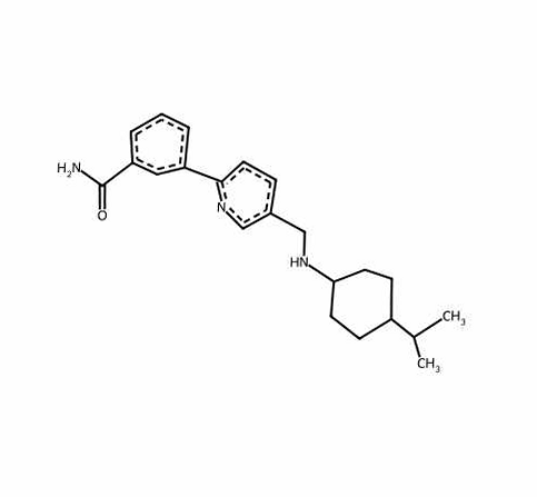 CC(C)C1CCC(NCc2ccc(-c3cccc(C(N)=O)c3)nc2)CC1